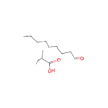 CC(C)C(=O)O.CCCCCCCCC=O